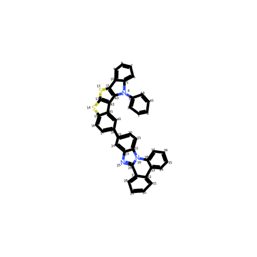 c1ccc(-n2c3ccccc3c3sc4sc5ccc(-c6ccc7c(c6)nc6c8ccccc8c8ccccc8n76)cc5c4c32)cc1